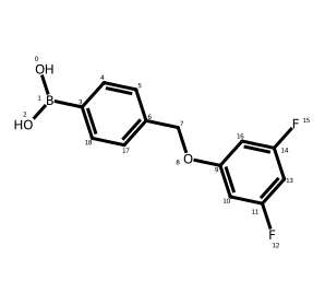 OB(O)c1ccc(COc2cc(F)cc(F)c2)cc1